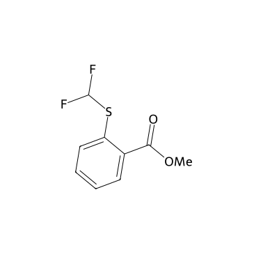 COC(=O)c1ccccc1SC(F)F